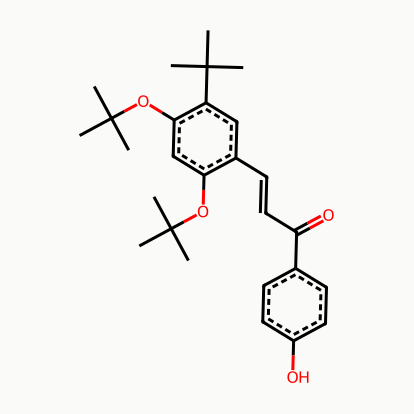 CC(C)(C)Oc1cc(OC(C)(C)C)c(C(C)(C)C)cc1/C=C/C(=O)c1ccc(O)cc1